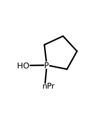 CCC[P]1(O)CCCC1